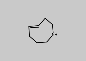 C1=C/CCNCCC/1